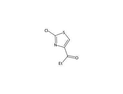 CCC(=O)c1csc(Cl)n1